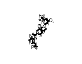 COc1cc(N2CCC3(CCN(c4cnc5cnn(CC(F)F)c5n4)CC3)C2=O)nc(C(F)(F)F)c1